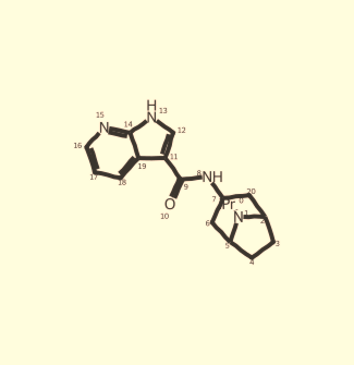 CC(C)N1C2CCC1CC(NC(=O)c1c[nH]c3ncccc13)C2